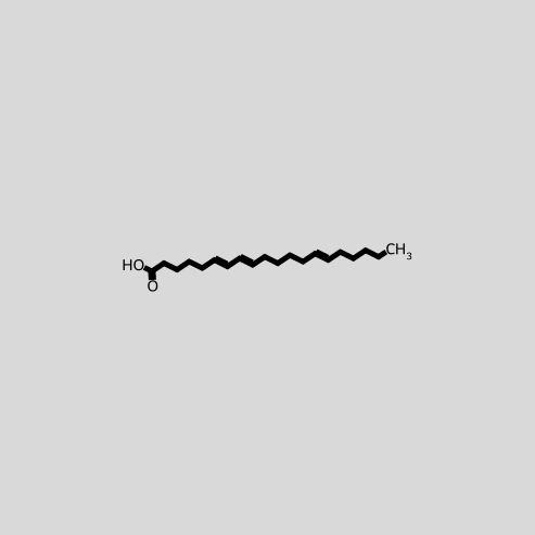 CCCCC/C=C/CCCC/C=C/C=C/CCCCC(=O)O